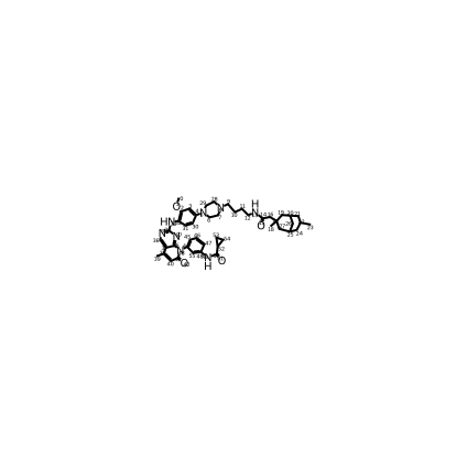 COc1cc(N2CCN(CCCCNC(=O)CC3(C)CC4CC(C)CC(C4)C3)CC2)ccc1Nc1ncc2c(C)cc(=O)n(-c3cccc(NC(=O)C4CC4)c3)c2n1